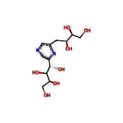 OC[C@H](O)[C@@H](O)[C@@H](O)c1cncc(C[C@H](O)[C@@H](O)CO)n1